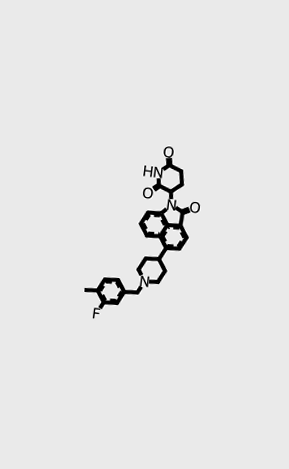 Cc1ccc(CN2CCC(c3ccc4c5c(cccc35)N(C3CCC(=O)NC3=O)C4=O)CC2)cc1F